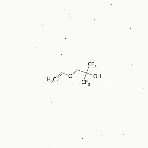 C=COCC(O)(C(F)(F)F)C(F)(F)F